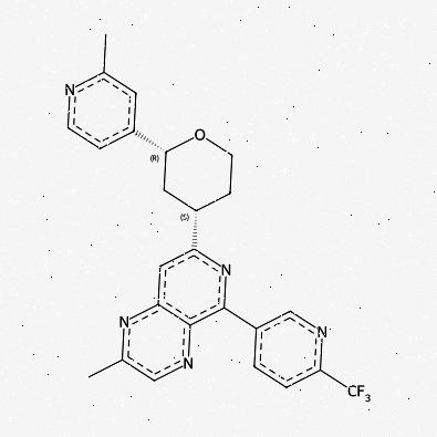 Cc1cc([C@H]2C[C@@H](c3cc4nc(C)cnc4c(-c4ccc(C(F)(F)F)nc4)n3)CCO2)ccn1